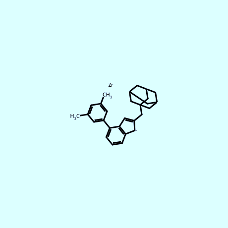 Cc1cc(C)cc(-c2cccc3c2C=C(CC24CC5CC(CC(C5)C2)C4)[CH]3)c1.[Zr]